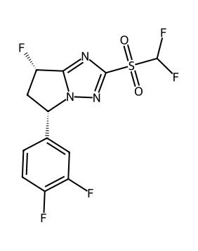 O=S(=O)(c1nc2n(n1)[C@H](c1ccc(F)c(F)c1)C[C@@H]2F)C(F)F